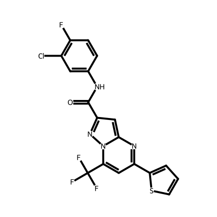 O=C(Nc1ccc(F)c(Cl)c1)c1cc2nc(-c3cccs3)cc(C(F)(F)F)n2n1